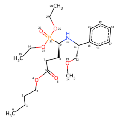 CCCCOC(=O)CC[C@H](N[C@@H](COC)c1ccccc1)P(=O)(OCC)OCC